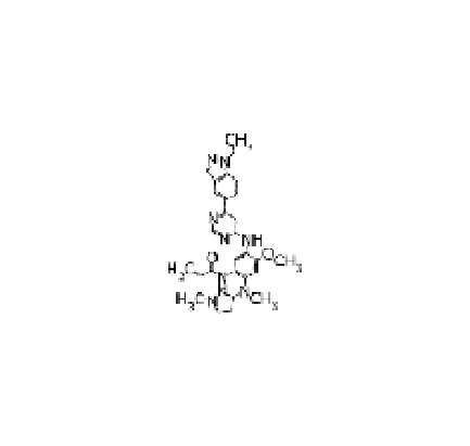 C=CC(=O)Nc1cc(Nc2cc(-c3ccc4c(cnn4CC)c3)ncn2)c(OC)cc1N(C)C1CCN(C)C1